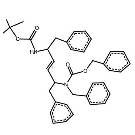 CC(C)(C)OC(=O)NC(/C=C/C(Cc1ccccc1)N(Cc1ccccc1)C(=O)OCc1ccccc1)Cc1ccccc1